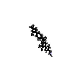 C/C=C/C1CCC(c2ccc(OC(=O)C3CCC(c4ccc(C5CO5)cc4F)CC3)c(F)c2F)CC1